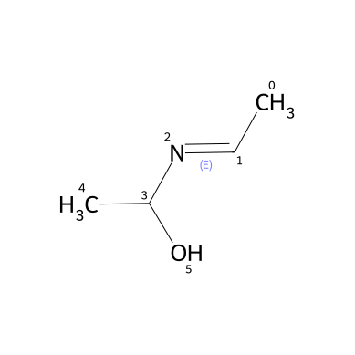 C/C=N/C(C)O